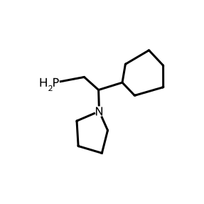 PCC(C1CCCCC1)N1CCCC1